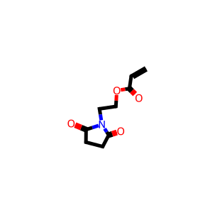 C=CC(=O)OCCN1C(=O)CCC1=O